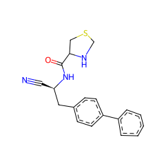 N#C[C@H](Cc1ccc(-c2ccccc2)cc1)NC(=O)C1CSCN1